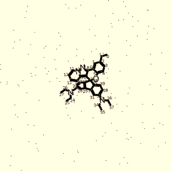 CCc1ccc2c(c1)-c1nn3ccccc3c1C1(O2)c2ccc(N(CC)CC)cc2-c2cc(N(CC)CC)ccc21